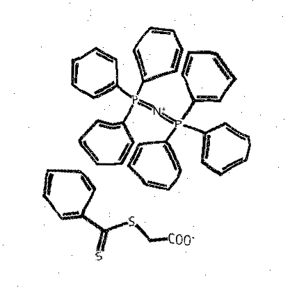 O=C([O-])CSC(=S)c1ccccc1.c1ccc(P(=[N+]=P(c2ccccc2)(c2ccccc2)c2ccccc2)(c2ccccc2)c2ccccc2)cc1